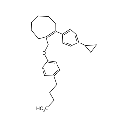 O=C(O)CCCc1ccc(OCC2=C(c3ccc(C4CC4)cc3)CCCCCC2)cc1